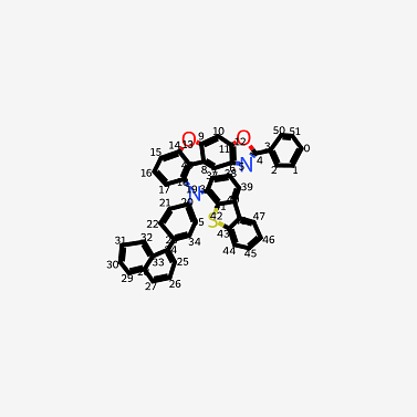 c1ccc(-c2nc3cc4c(cc3o2)oc2cccc(N(c3ccc(-c5cccc6ccccc56)cc3)c3cccc5c3sc3ccccc35)c24)cc1